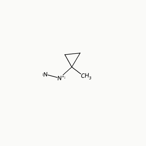 CC1([N+][N])CC1